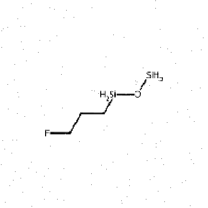 FCCC[SiH2]O[SiH3]